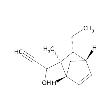 C#CC(O)[C@@]1(C)[C@H](CC)[C@@H]2C=C[C@H]1C2